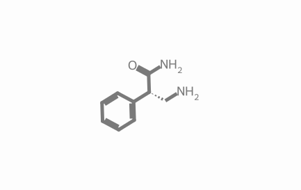 NC[C@@H](C(N)=O)c1ccccc1